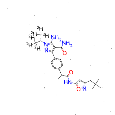 [2H]C([2H])([2H])C(n1nc(-c2ccc(C(C)C(=O)Nc3cc(CC(C)(C)C)no3)cc2)c(C(N)=O)c1N)C([2H])([2H])[2H]